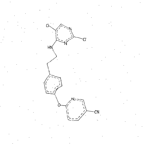 N#Cc1ccc(Oc2ccc(CCNc3nc(Cl)ncc3Cl)cc2)nc1